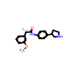 C[C@H](C(=O)Nc1ccc(C2CCNC2)cc1)c1cccc(OC(F)(F)F)c1